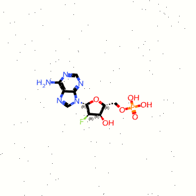 Nc1ncnc2c1ncn2[C@@H]1O[C@H](COP(=O)(O)O)[C@@H](O)[C@H]1F